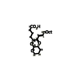 CCCCCCCCC=CC(=O)N(CCCC(=O)O)OC1CCCCO1